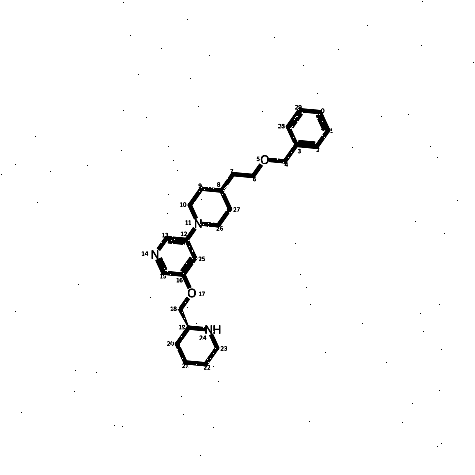 c1ccc(COCCC2CCN(c3cncc(OC[C@@H]4CCCCN4)c3)CC2)cc1